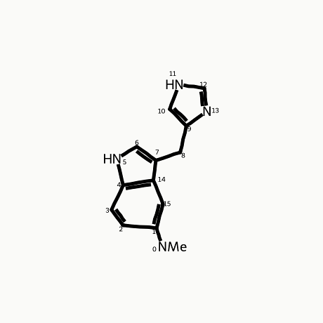 CNc1ccc2[nH]cc(Cc3c[nH]cn3)c2c1